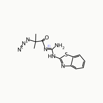 CC(C)(N=[N+]=[N-])C(=O)/N=C(\N)Nc1nc2ccccc2s1